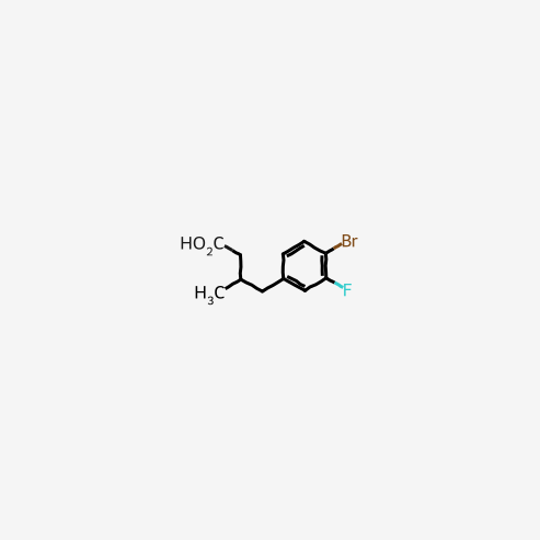 CC(CC(=O)O)Cc1ccc(Br)c(F)c1